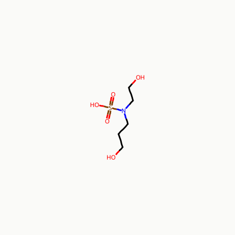 O=S(=O)(O)N(CCO)CCCO